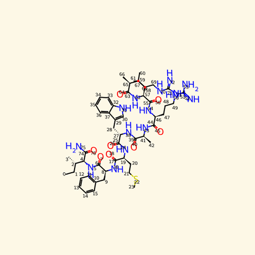 CC[C@H](C)[C@H](NC(=O)[C@H](Cc1ccccc1)NC(=O)[C@H](CCSC)NC(=O)[C@H](Cc1c[nH]c2ccccc12)NC(=O)[C@H](C)NC(=O)[C@H](CCCNC(=N)N)NC(=O)[C@H](CC(C)C)NC(=O)[C@@H](C)CCCNC(=N)N)C(N)=O